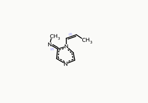 C/C=C\n1ccnc/c1=N/C